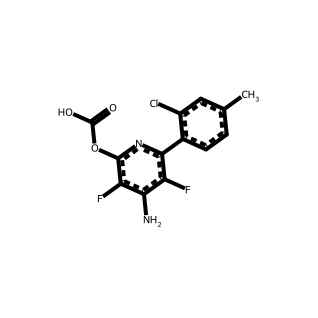 Cc1ccc(-c2nc(OC(=O)O)c(F)c(N)c2F)c(Cl)c1